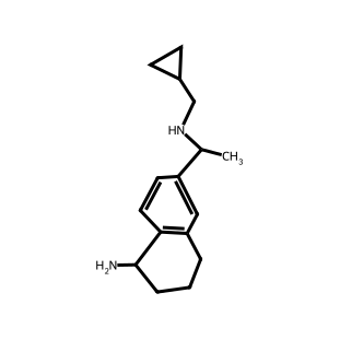 CC(NCC1CC1)c1ccc2c(c1)CCCC2N